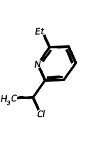 CCc1cccc(C(C)Cl)n1